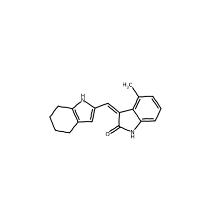 Cc1cccc2c1/C(=C/c1cc3c([nH]1)CCCC3)C(=O)N2